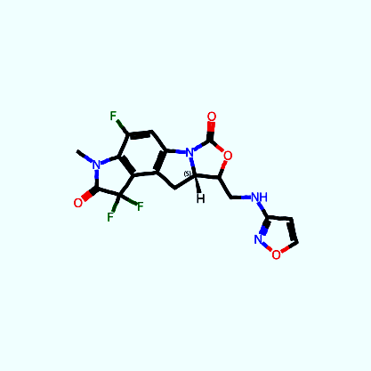 CN1C(=O)C(F)(F)c2c3c(cc(F)c21)N1C(=O)OC(CNc2ccon2)[C@@H]1C3